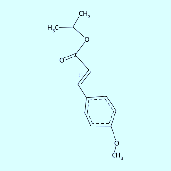 COc1ccc(/C=C/C(=O)OC(C)C)cc1